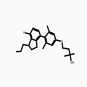 CCCC1CCc2c(-c3c(C)cc(OCCC(C)(C)O)cc3C)ccc(F)c21